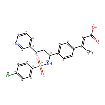 CC(=CC(=O)O)c1ccc(C(CCc2cccnc2)NS(=O)(=O)c2ccc(Cl)cc2)cc1